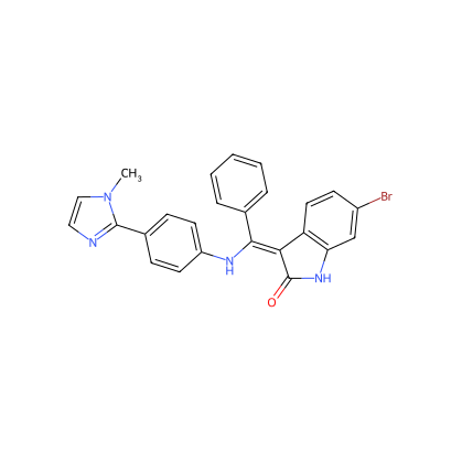 Cn1ccnc1-c1ccc(N/C(=C2\C(=O)Nc3cc(Br)ccc32)c2ccccc2)cc1